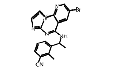 Cc1c(C#N)cccc1C(C)Nc1nc2nccn2c2ncc(Br)cc12